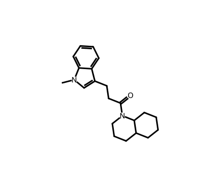 Cn1cc(CCC(=O)N2CCCC3CCCCC32)c2ccccc21